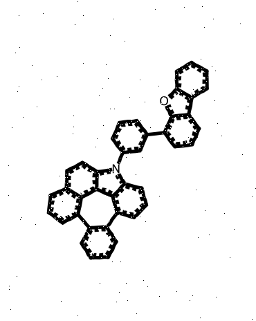 c1cc(-c2cccc3c2oc2ccccc23)cc(-n2c3cccc4c3c3c5c(cccc5ccc32)-c2ccccc2-4)c1